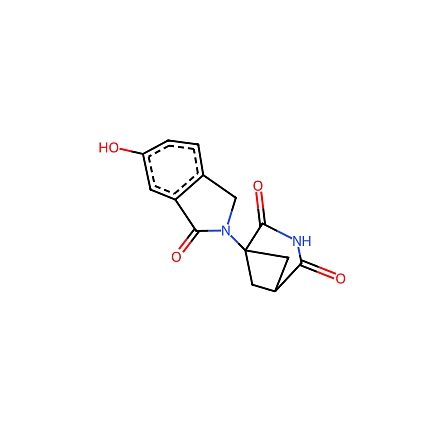 O=C1NC(=O)C2(N3Cc4ccc(O)cc4C3=O)CC1C2